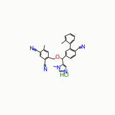 Cc1cc(COC(c2ccc(C#N)c(-c3ccccc3C)c2)c2cncn2C)c(C#N)cc1C#N.Cl